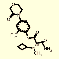 CN(C1CCC1)[C@@H](C(N)=O)C(=O)Nc1ccc(N2CCOCC2=O)cc1C(F)(F)F